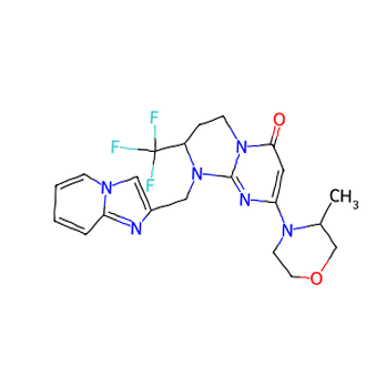 CC1COCCN1c1cc(=O)n2c(n1)N(Cc1cn3ccccc3n1)C(C(F)(F)F)CC2